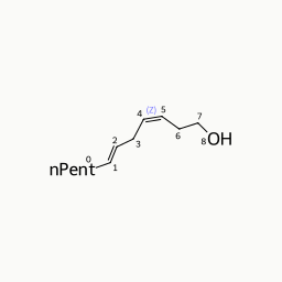 CCCCCC=CC/C=C\CCO